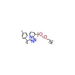 Cc1ccc(C2(c3nnc4c(C(C)(C)OCOCC[Si](C)(C)C)cccn34)CC2)cc1